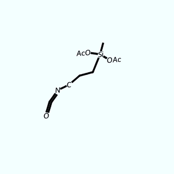 CC(=O)O[Si](C)(CCCN=C=O)OC(C)=O